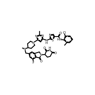 Cc1nc(Nc2ncc(C(=O)Nc3c(C)cccc3Cl)s2)cc(N2CCC(N(C)Cc3cc(F)c4c(c3)CN(C3CCC(=O)NC3=O)C4=O)CC2)n1